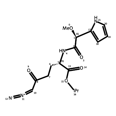 CO[C@H](C(=O)N[C@@H](CCC(=O)C=[N+]=[N-])C(=O)OC(C)C)c1ccc[nH]1